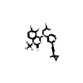 [2H]C([2H])([2H])n1c(=O)nc(N(CC(F)F)c2ccnc(C#CC3(C)CC3)c2)c2c(F)c(F)ccc21